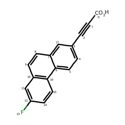 O=C(O)C#Cc1ccc2c(ccc3cc(F)ccc32)c1